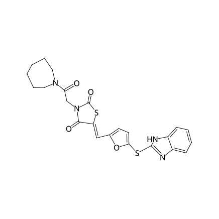 O=C(CN1C(=O)SC(=Cc2ccc(Sc3nc4ccccc4[nH]3)o2)C1=O)N1CCCCCC1